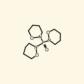 O=P(N1CCCCO1)(N1CCCCO1)N1CCCCO1